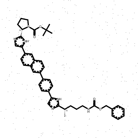 C[C@@H](CCCNC(=O)OCc1ccccc1)c1ncc(-c2ccc(-c3ccc4cc(-c5cnc([C@@H]6CCCN6C(=O)OC(C)(C)C)[nH]5)ccc4c3)cc2)[nH]1